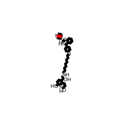 O=C(NC(c1ccccc1)c1ccc(OCCCCCCCCCNCC(O)c2ccc(O)c3[nH]c(=O)ccc23)cc1)OC1CN2CCC1CC2